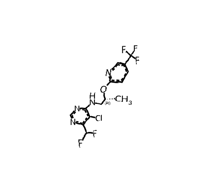 C[C@H](CNc1ncnc(C(F)F)c1Cl)Oc1ccc(C(F)(F)F)cn1